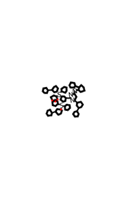 c1ccc(-c2cccc(-c3cc(-n4c5ccccc5c5ccccc54)nc(-c4cc(S(c5ccccc5)(c5ccccc5)c5cccc(-c6ccccc6)c5)cc(S(c5ccccc5)(c5ccccc5)c5cccc(-c6ccccc6)c5)c4)n3)c2)cc1